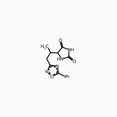 CC(C)c1nc(CC(C)C2NC(=O)NC2=O)no1